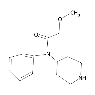 COCC(=O)N(c1ccccc1)C1CCNCC1